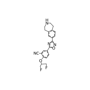 N#Cc1cc(-c2nc(-c3ccc4c(c3)CCNCC4)no2)ccc1OC(CF)CF